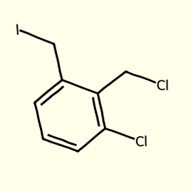 ClCc1c(Cl)cccc1CI